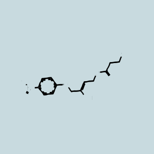 CCCC(=O)OCC=C(C)COc1ccc([N+](=O)[O-])cc1